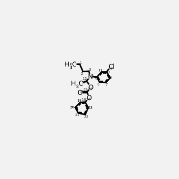 CCCCN(c1cccc(Cl)c1)C(C)OC(=O)Oc1ccccc1